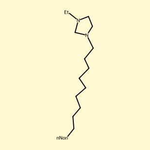 CCCCCCCCCCCCCCCCCCN1CCN(CC)C1